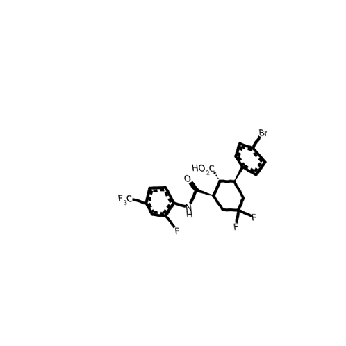 O=C(O)[C@@H]1[C@@H](c2ccc(Br)cc2)CC(F)(F)C[C@H]1C(=O)Nc1ccc(C(F)(F)F)cc1F